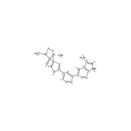 CN1CC[C@@](O)(c2cc(-c3cccc(-c4ccc5[nH]nc(N)c5n4)c3)on2)C1=O